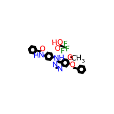 COc1cc2c(Nc3ccc(NC(=O)c4ccccc4)cc3)ncnc2cc1OCc1ccccc1.O=C(O)C(F)(F)F